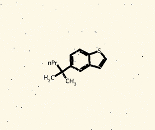 CCCC(C)(C)c1ccc2sccc2c1